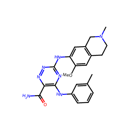 COc1cc2c(cc1Nc1nnc(C(N)=O)c(Nc3cccc(C)c3)n1)CN(C)CC2